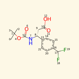 CC(C)(C)OC(=O)N[C@H](CC(=O)O)c1ccc(C(F)F)cc1